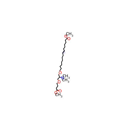 COC(=O)CCCCC/C=C/CCCCCCCCOCC(COCCCC(=O)OC)N(C)C